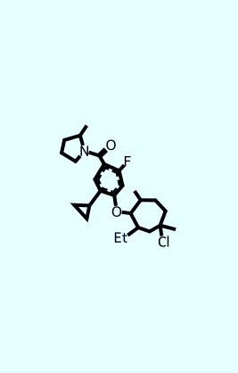 CCC1CC(C)(Cl)CCC(C)C1Oc1cc(F)c(C(=O)N2CCCC2C)cc1C1CC1